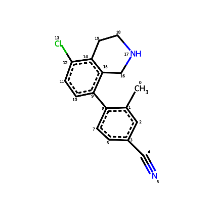 Cc1cc(C#N)ccc1-c1ccc(Cl)c2c1CNCC2